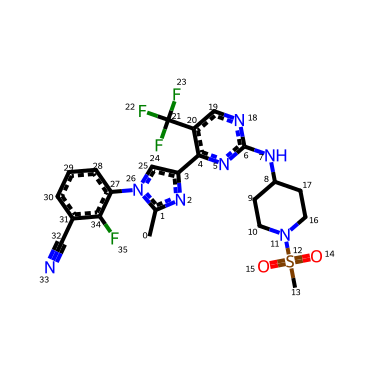 Cc1nc(-c2nc(NC3CCN(S(C)(=O)=O)CC3)ncc2C(F)(F)F)cn1-c1cccc(C#N)c1F